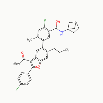 CNC(=O)c1c(-c2ccc(F)cc2)oc2cc(CCC(F)(F)F)c(-c3cc(C(O)NC45CCC(C4)C5)c(F)cc3C)cc12